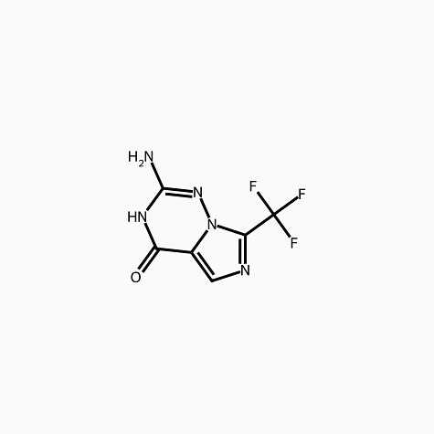 Nc1nn2c(C(F)(F)F)ncc2c(=O)[nH]1